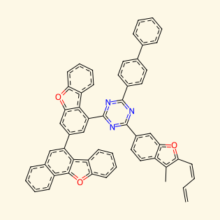 C=C/C=C\c1oc2cc(-c3nc(-c4ccc(-c5ccccc5)cc4)nc(-c4cc(-c5cc6ccccc6c6oc7ccccc7c56)cc5oc6ccccc6c45)n3)ccc2c1C